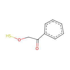 O=C(COS)c1ccccc1